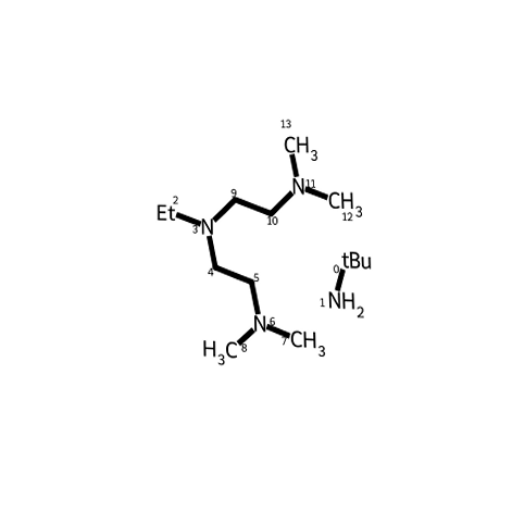 CC(C)(C)N.CCN(CCN(C)C)CCN(C)C